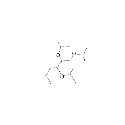 CC(C)CC(OC(C)C)C(COC(C)C)OC(C)C